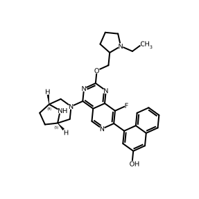 CCN1CCCC1COc1nc(N2C[C@H]3CC[C@@H](C2)N3)c2cnc(-c3cc(O)cc4ccccc34)c(F)c2n1